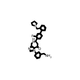 NCc1cccc(-n2cnc3c2C(=O)CC(c2ccc(-c4ccccc4CN4CCCC4)cc2F)NC3)c1